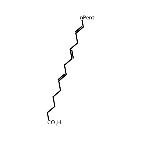 CCCCCC=CCC=CCC=CCCCCC(=O)O